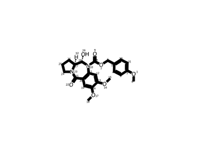 COc1ccc(COC(=O)N2c3cc(OC)c(OC)cc3C(=O)N3CCC[C@H]3[C@@H]2O)cc1